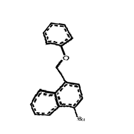 CCC(C)c1ccc(COc2ccccc2)c2ccccc12